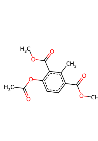 COC(=O)c1ccc(OC(C)=O)c(C(=O)OC)c1C